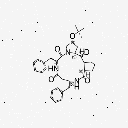 CC(C)(C)O[C@@H]1C[C@H]2C(=O)C3CCC[C@H]3C(=O)N[C@@H](Cc3ccccc3)CC(=O)N[C@@H](Cc3ccccc3)C(=O)N2C1